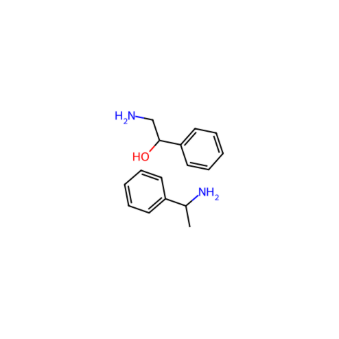 CC(N)c1ccccc1.NCC(O)c1ccccc1